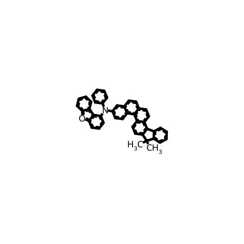 CC1(C)c2ccccc2-c2c1ccc1c2ccc2ccc3cc(N(c4ccccc4)c4cccc5oc6ccccc6c45)ccc3c21